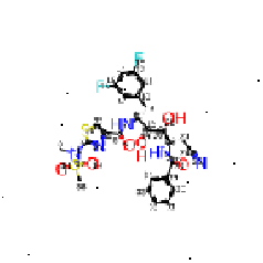 CN(c1nc(C(=O)N[C@H](Cc2cc(F)cc(F)c2)[C@@H](O)[C@H](O)[C@H](CC#N)NC(=O)c2ccccc2)cs1)S(C)(=O)=O